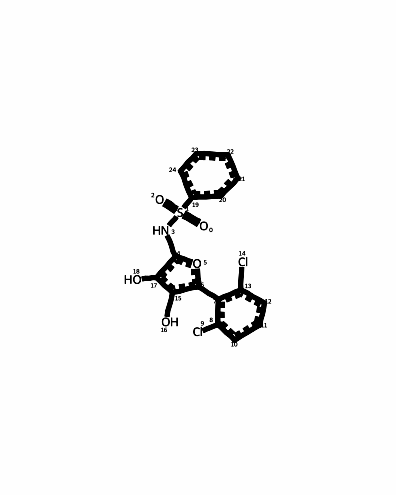 O=S(=O)(Nc1oc(-c2c(Cl)cccc2Cl)c(O)c1O)c1ccccc1